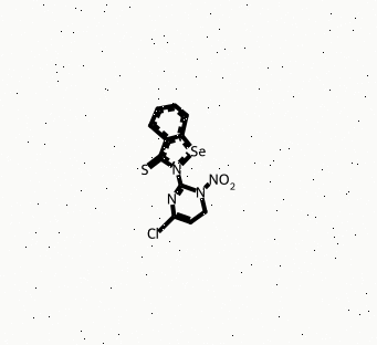 O=[N+]([O-])N1CC=C(Cl)N=C1n1[se]c2ccccc2c1=S